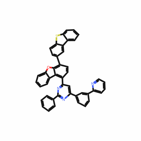 c1ccc(-c2nc(-c3cccc(-c4ccccn4)c3)cc(-c3ccc(-c4ccc5sc6ccccc6c5c4)c4oc5ccccc5c34)n2)cc1